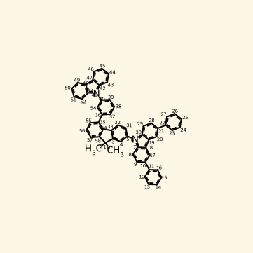 CC1(C)c2cc(-n3c4ccc(-c5ccccc5)cc4c4cc(-c5ccccc5)ccc43)ccc2-c2c(-c3cccc(-n4c5ccccc5c5ccccc54)c3)cccc21